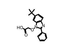 CC(C)(C)c1ccc2nc(-c3ccccc3)n(OCC(=O)O)c2c1